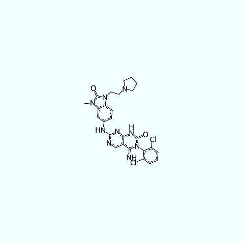 Cn1c(=O)n(CCN2CCCC2)c2ccc(Nc3ncc4c(=N)n(-c5c(Cl)cccc5Cl)c(=O)[nH]c4n3)cc21